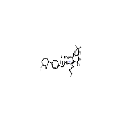 CCCC/C(NCc1ccc(-c2cccc(F)n2)cc1)=c1\c(=O)n(C)c2n(c1=N)CC(C)(C)N=2